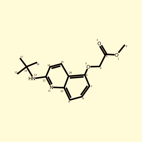 COC(=O)COc1cccc2nc(NC(C)(C)C)ccc12